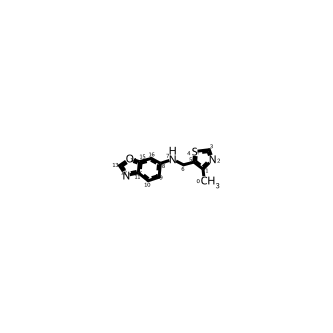 Cc1ncsc1CNc1ccc2ncoc2c1